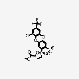 CCP(=O)(OCC(=O)OC)c1cc(Oc2c(Cl)cc(C(F)(F)F)cc2Cl)ccc1[N+](=O)[O-]